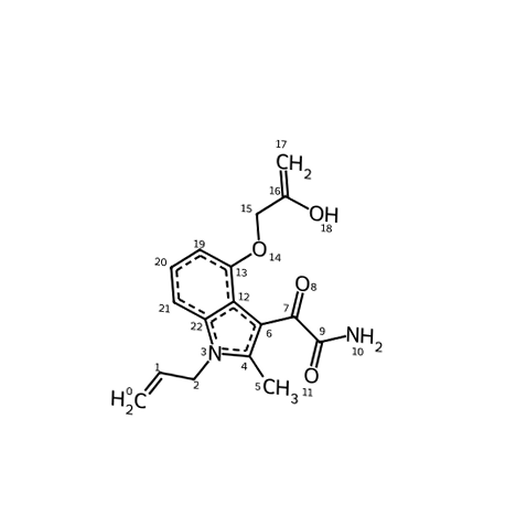 C=CCn1c(C)c(C(=O)C(N)=O)c2c(OCC(=C)O)cccc21